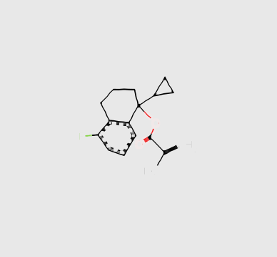 C=C(C)C(=O)OC1(C2CC2)CCCc2c(F)cccc21